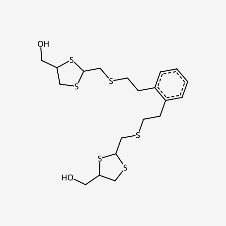 OCC1CSC(CSCCc2ccccc2CCSCC2SCC(CO)S2)S1